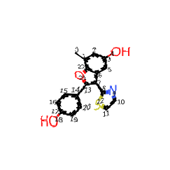 Cc1cc(O)cc2c(-c3nccs3)c(-c3ccc(O)cc3)oc12